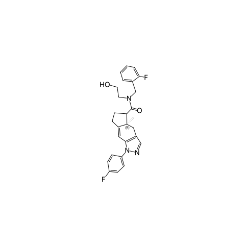 C[C@]12Cc3cnn(-c4ccc(F)cc4)c3C=C1CCC2C(=O)N(CCO)Cc1ccccc1F